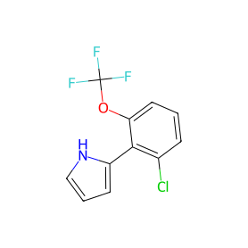 FC(F)(F)Oc1cccc(Cl)c1-c1ccc[nH]1